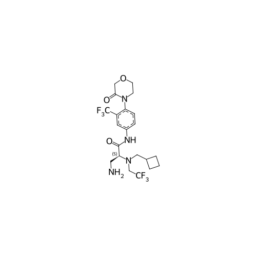 NC[C@@H](C(=O)Nc1ccc(N2CCOCC2=O)c(C(F)(F)F)c1)N(CC1CCC1)CC(F)(F)F